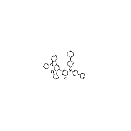 Clc1cc(-c2cc3c4ccccc4n(-c4ccccc4)c3c3oc4ccccc4c23)cc(N(c2ccc(-c3ccccc3)cc2)c2ccc(-c3ccccc3)cc2)c1